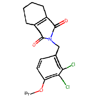 CC(C)Oc1ccc(CN2C(=O)C3=C(CCCC3)C2=O)c(Cl)c1Cl